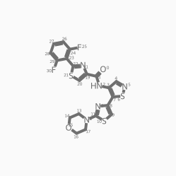 O=C(Nc1cnsc1-c1csc(N2CCOCC2)n1)c1csc(-c2c(F)cccc2F)n1